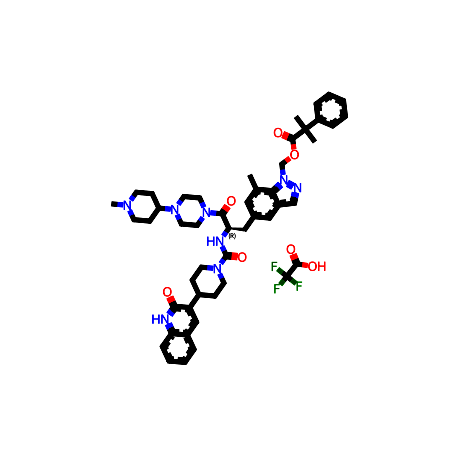 Cc1cc(C[C@@H](NC(=O)N2CCC(c3cc4ccccc4[nH]c3=O)CC2)C(=O)N2CCN(C3CCN(C)CC3)CC2)cc2cnn(COC(=O)C(C)(C)c3ccccc3)c12.O=C(O)C(F)(F)F